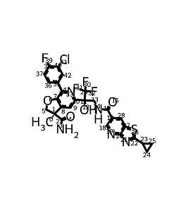 C[C@]1(C(N)=O)COc2c1cc(C(O)(CNC(=O)c1cnc3nc(C4CC4)sc3c1)C(F)(F)F)nc2-c1ccc(F)c(Cl)c1